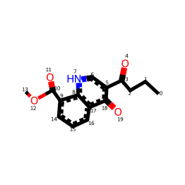 CCCC(=O)c1c[nH]c2c(C(=O)OC)cccc2c1=O